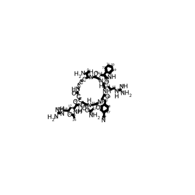 C=C(N)C1CCCNC(=O)CC[C@H](NC(=O)[C@H](CCCNC(=N)N)NC(C)=O)C(=O)N[C@@H](CC(N)=O)C(=O)N[C@H](Cc2ccc(C#N)cc2)C(=O)N[C@@H](CCCNC(=N)N)C(=O)N[C@@H](Cc2c[nH]c3ccccc23)C(=O)N1